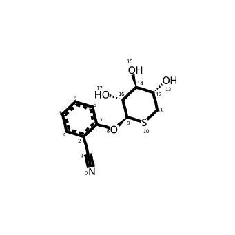 N#Cc1ccccc1O[C@@H]1SC[C@@H](O)[C@H](O)[C@H]1O